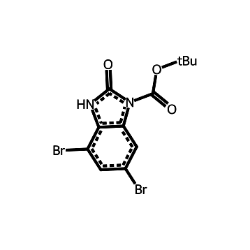 CC(C)(C)OC(=O)n1c(=O)[nH]c2c(Br)cc(Br)cc21